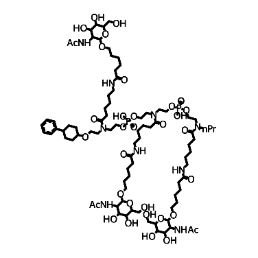 CCCN(CCOP(=O)(O)OCCN(CCOP(=O)(O)OCCN(CCOC1CCC(c2ccccc2)CC1)C(=O)CCCCCNC(=O)CCCCCOC1OC(CO)C(O)C(O)C1NC(C)=O)C(=O)CCCCCNC(=O)CCCCCOC1OC(CO)C(O)C(O)C1NC(C)=O)C(=O)CCCCCNC(=O)CCCCCOC1OC(CO)C(O)C(O)C1NC(C)=O